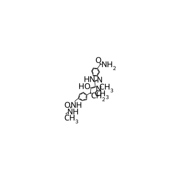 C=C(/C(O)=C(/c1nc2cc(C(N)=O)ccc2[nH]1)N(C)C)c1ccc(CNC(=O)NCC)cc1